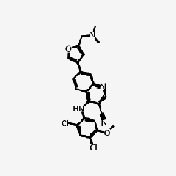 COc1cc(Nc2c(C#N)cnc3cc(-c4coc(CN(C)C)c4)ccc23)c(Cl)cc1Cl